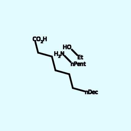 CCCCCCCCCCCCCCCC(=O)O.CCCCCN.CCO